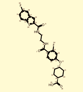 O=C(NCCNC(=O)c1ccc(O[C@H]2CC[C@H](C(=O)O)CC2)cc1F)c1cc2cc(F)ccc2s1